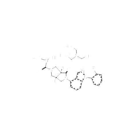 CCN(CC)CC.CN(C)C(=O)N1C[C@H]2CN(c3cccc4c3cnn4-c3ccccc3F)C(=O)[C@H]2C1